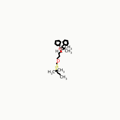 CCCC(C)(C)SSCOCCCCO[Si](c1ccccc1)(c1ccccc1)C(C)(C)C